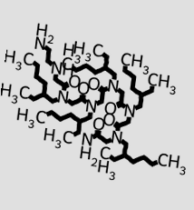 CCCCC(CC)CN(CC(N)=O)C(=O)CN(CC(CC)CCCC)C(=O)CN(CC(CC)CCCC)C(=O)CN(CC(CC)CCCC)C(=O)CN(CC(CC)CCCC)C(=O)CNCCN